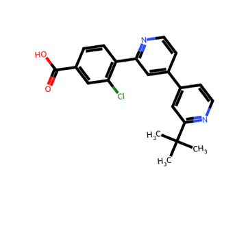 CC(C)(C)c1cc(-c2ccnc(-c3ccc(C(=O)O)cc3Cl)c2)ccn1